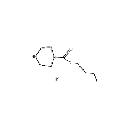 CCCCOC(=O)N1CCNCC1.[K]